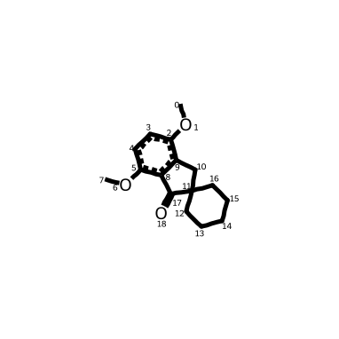 COc1ccc(OC)c2c1CC1(CCCCC1)C2=O